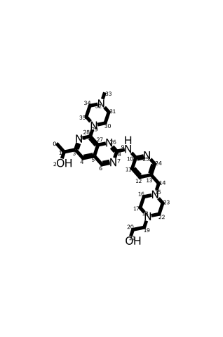 CC(O)c1cc2cnc(Nc3ccc(CN4CCN(CCO)CC4)cn3)nc2c(N2CCN(C)CC2)n1